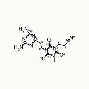 N#CCCn1c(=O)[nH]c(=O)n(CCc2nc(N)nc(N)n2)c1=O